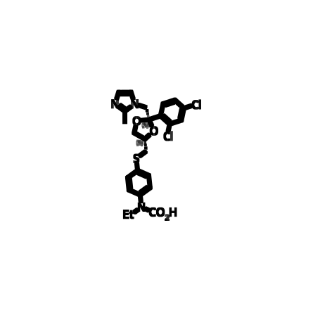 CCN(C(=O)O)c1ccc(SC[C@@H]2CO[C@@](Cn3ccnc3C)(c3ccc(Cl)cc3Cl)O2)cc1